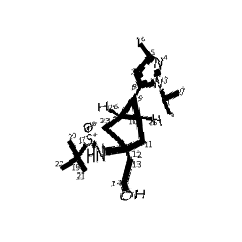 CC(C)n1nc(I)cc1[C@H]1[C@@H]2C[C@](CCO)(N[S@@+]([O-])C(C)(C)C)C[C@@H]21